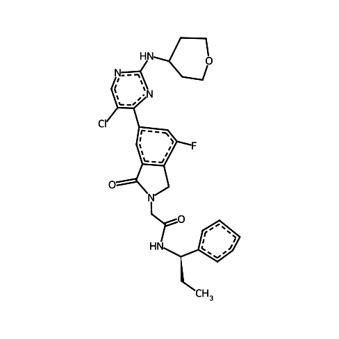 CC[C@@H](NC(=O)CN1Cc2c(F)cc(-c3nc(NC4CCOCC4)ncc3Cl)cc2C1=O)c1ccccc1